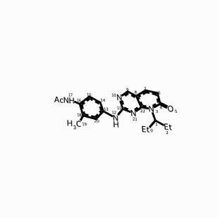 CCC(CC)n1c(=O)ccc2cnc(Nc3ccc(NC(C)=O)c(C)c3)nc21